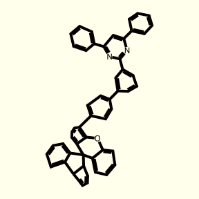 C1=CC2c3ccccc3C3(c4ccccc4Oc4c(-c5ccc(-c6cccc(-c7nc(-c8ccccc8)cc(-c8ccccc8)n7)c6)cc5)cccc43)C2C=C1